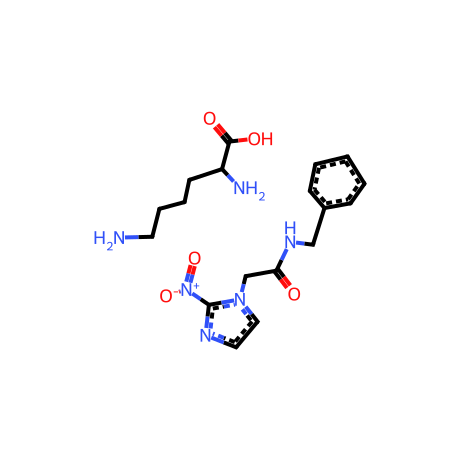 NCCCCC(N)C(=O)O.O=C(Cn1ccnc1[N+](=O)[O-])NCc1ccccc1